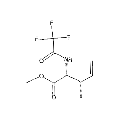 C=C[C@H](C)[C@@H](NC(=O)C(F)(F)F)C(=O)OC